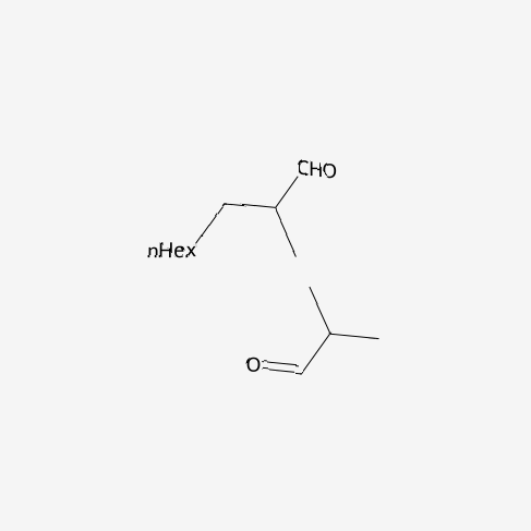 CC(C)C=O.CCCCCCCC(C)C=O